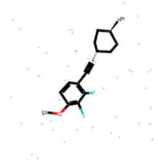 CCC[C@H]1CC[C@H](C#Cc2ccc(OCC)c(F)c2F)CC1